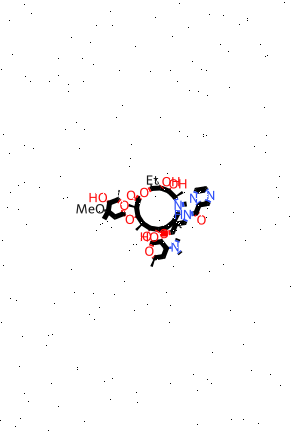 CC[C@H]1OC(=O)[C@H](C)[C@@H](O[C@H]2C[C@@](C)(OC)[C@@H](O)[C@H](C)O2)[C@H](C)[C@@H](O[C@@H]2O[C@H](C)C[C@H](N(C)C)[C@H]2OCCCNC(=O)c2cnccn2)[C@](C)(O)C[C@@H](C)CN(C)[C@H](C)[C@@H](O)[C@]1(C)O